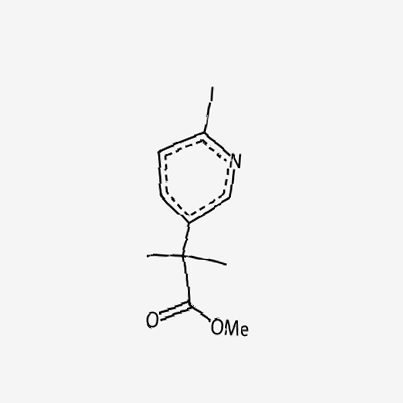 COC(=O)C(C)(C)c1ccc(I)nc1